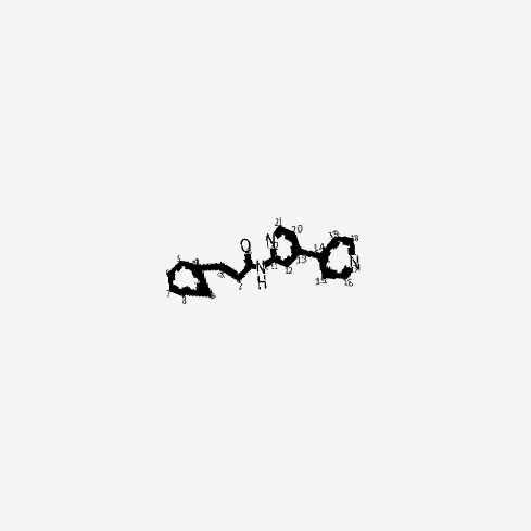 O=C(C=Cc1ccccc1)Nc1cc(-c2ccncc2)ccn1